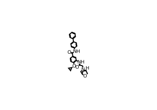 O=C(CN1CC2C[C@H]1CO2)Nc1cc(C(=O)Nc2ccc(-c3ccccc3)cc2)ccc1OC1CC1